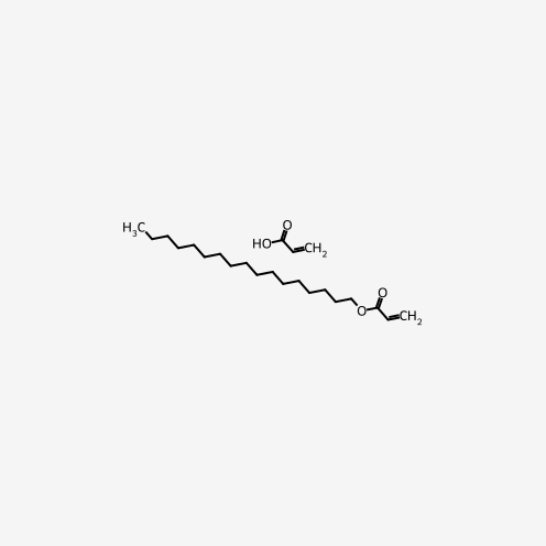 C=CC(=O)O.C=CC(=O)OCCCCCCCCCCCCCCCCC